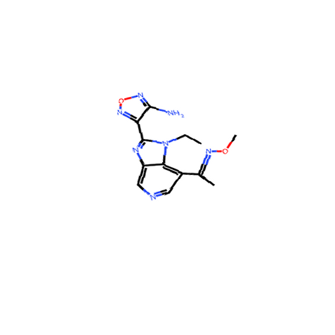 CCn1c(-c2nonc2N)nc2cncc(C(C)=NOC)c21